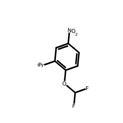 C[C](C)c1cc([N+](=O)[O-])ccc1OC(F)F